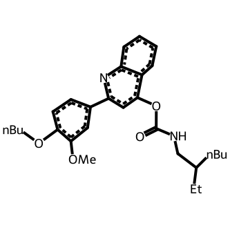 CCCCOc1ccc(-c2cc(OC(=O)NCC(CC)CCCC)c3ccccc3n2)cc1OC